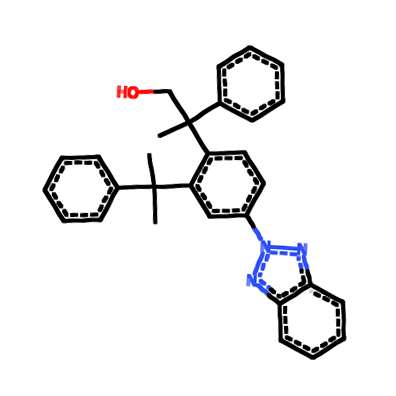 CC(C)(c1ccccc1)c1cc(-n2nc3ccccc3n2)ccc1C(C)(CO)c1ccccc1